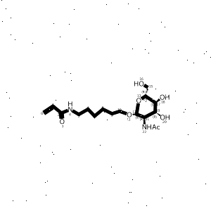 C=CC(=O)NCCCCCCO[C@@H]1O[C@H](CO)[C@@H](O)[C@H](O)[C@H]1NC(C)=O